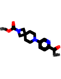 CNC(=O)c1ccc(N2CCC3(CC2)CN(C(=O)OC(C)(C)C)C3)cn1